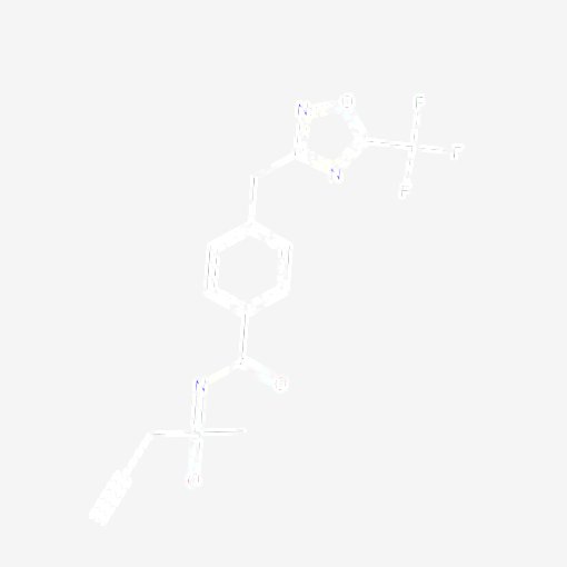 C#CCS(C)(=O)=NC(=O)c1ccc(Cc2noc(C(F)(F)F)n2)cc1